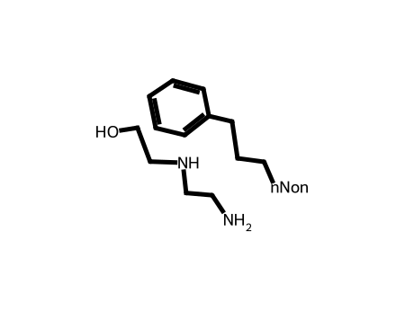 CCCCCCCCCCCCc1ccccc1.NCCNCCO